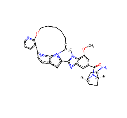 COc1cc(C(=O)N2[C@H]3CC[C@@H]2[C@H](N)C3)cc2nc(-c3cc4ccc5nc4n3CCCCCCCOc3ncccc3-5)n(C)c12